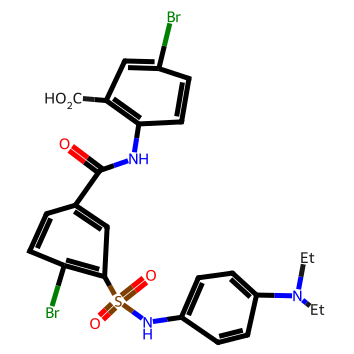 CCN(CC)c1ccc(NS(=O)(=O)c2cc(C(=O)Nc3ccc(Br)cc3C(=O)O)ccc2Br)cc1